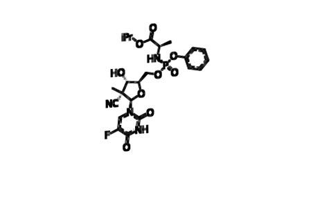 CC(C)OC(=O)[C@@H](C)N[P@@](=O)(OC[C@H]1O[C@@H](n2cc(F)c(=O)[nH]c2=O)[C@](C)(C#N)[C@@H]1O)Oc1ccccc1